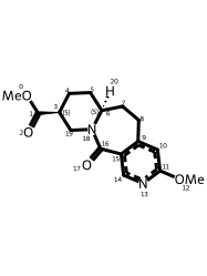 COC(=O)[C@H]1CC[C@H]2CCc3cc(OC)ncc3C(=O)N2C1